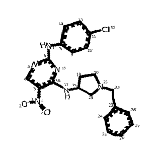 O=[N+]([O-])c1cnc(Nc2ccc(Cl)cc2)nc1NC1CCN(Cc2ccccc2)C1